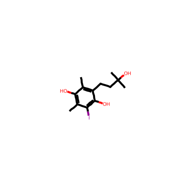 Cc1c(O)c(C)c(CCC(C)(C)O)c(O)c1I